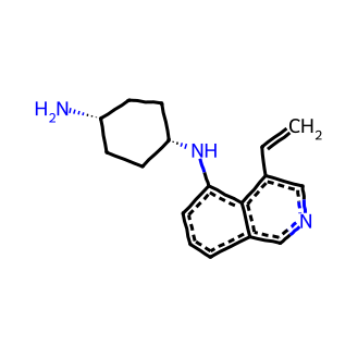 C=Cc1cncc2cccc(N[C@H]3CC[C@@H](N)CC3)c12